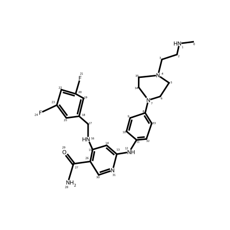 CNCCN1CCN(c2ccc(Nc3cc(NCc4cc(F)cc(F)c4)c(C(N)=O)cn3)cc2)CC1